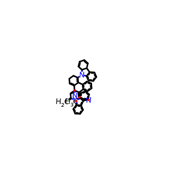 C=C(/C=C\C(=C(/C)C#N)c1ccccc1C1=C(N2c3ccccc3C3C=CC=CC32)CCC=C1C#N)n1c2ccccc2c2ccccc21